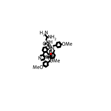 COc1ccc(CN(Cc2ccc(OC)cc2)S(=O)(=O)c2c(S(=O)(=O)NCC(N)CN)ccc(-c3cnccc3N)c2-c2nnn(Cc3ccc(OC)cc3)n2)cc1